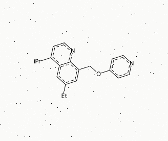 CCc1cc(COc2ccncc2)c2nccc(C(C)C)c2c1